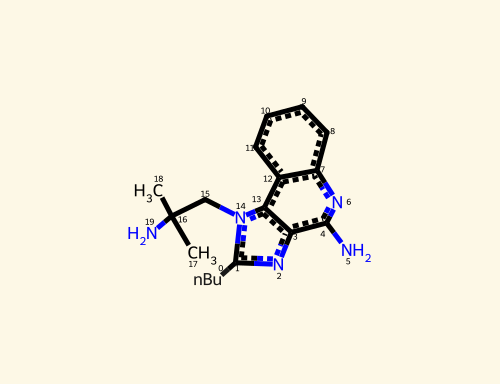 CCCCc1nc2c(N)nc3ccccc3c2n1CC(C)(C)N